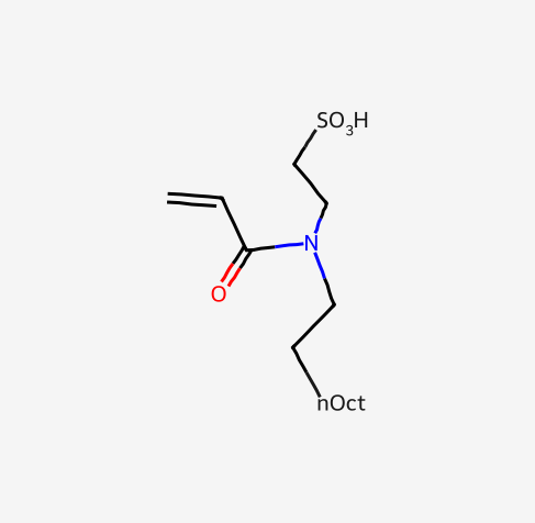 C=CC(=O)N(CCCCCCCCCC)CCS(=O)(=O)O